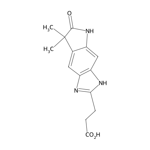 CC1(C)C(=O)Nc2cc3[nH]c(CCC(=O)O)nc3cc21